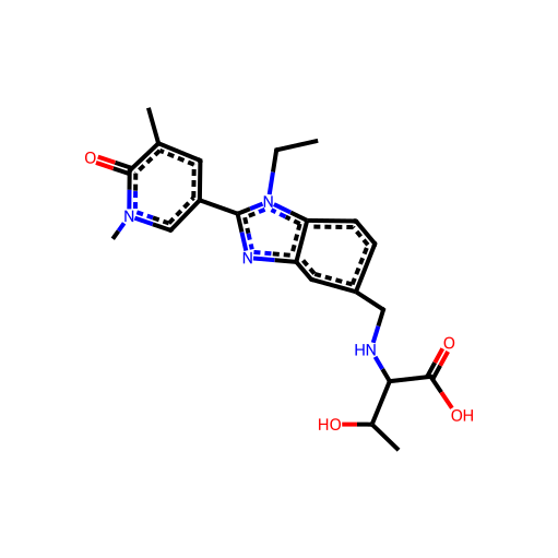 CCn1c(-c2cc(C)c(=O)n(C)c2)nc2cc(CNC(C(=O)O)C(C)O)ccc21